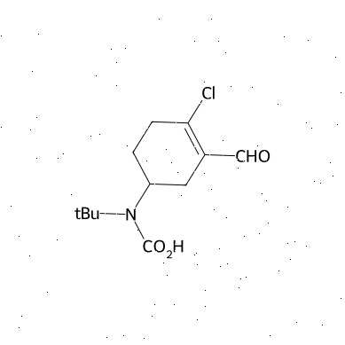 CC(C)(C)N(C(=O)O)C1CCC(Cl)=C(C=O)C1